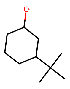 CC(C)(C)C1CCCC([O])C1